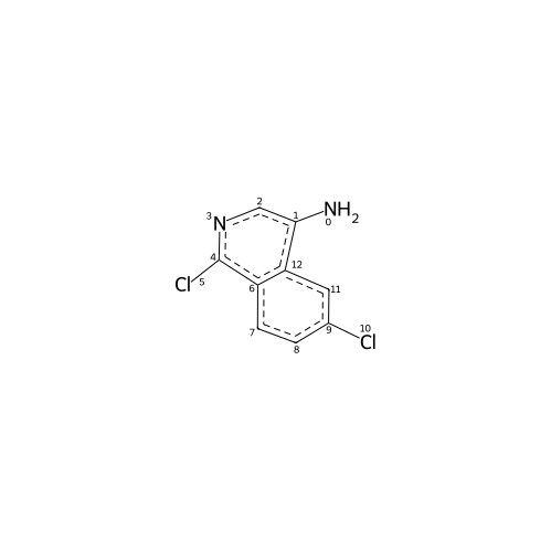 Nc1cnc(Cl)c2ccc(Cl)cc12